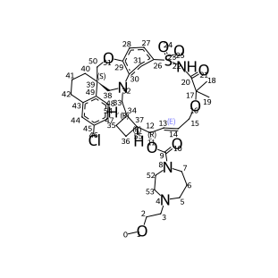 COCCN1CCCN(C(=O)O[C@H]2/C=C/COC(C)(C)C(=O)NS(=O)(=O)c3ccc4c(c3)N(C[C@@H]3CC[C@H]32)C[C@@]2(CCCc3cc(Cl)ccc32)CO4)CC1